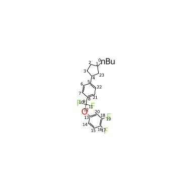 CCCCC1CCC(c2ccc(C(F)(F)Oc3ccc(F)c(F)c3)cc2)C1